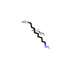 CC(=O)O.CCCCCCCCCCCCCCCCCN